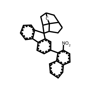 O=[N+]([O-])c1ccc2ccccc2c1-c1ccc2c(c1)C1(c3ccccc3-2)C2CC3CC4CC1C2(C3)C4